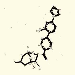 C=C(c1ncc(-c2ccc(-n3ccnc3)cc2O)nn1)[C@H]1C[C@]2(C)CC(C)C[C@@](C)(N2)[C@@H]1F